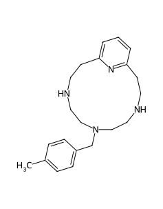 Cc1ccc(CN2CCNCCc3cccc(n3)CCNCC2)cc1